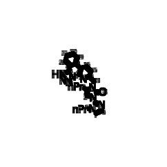 CCCc1cn(-c2nccn2CCC)c(=O)n1Cc1ccc(-c2ccccc2-c2nnn[nH]2)cn1